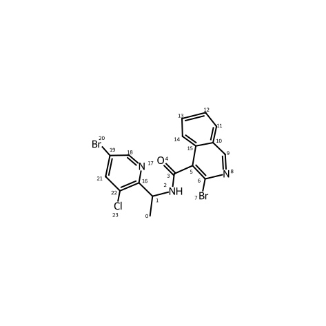 CC(NC(=O)c1c(Br)ncc2ccccc12)c1ncc(Br)cc1Cl